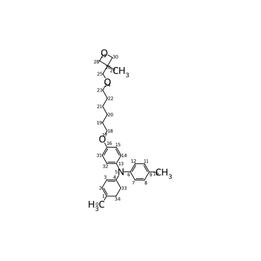 CC1=CC=C(N(c2ccc(C)cc2)c2ccc(OCCCCCCOCC3(C)COC3)cc2)CC1